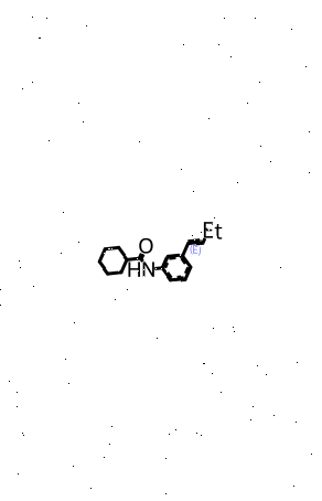 CC/C=C/c1cccc(NC(=O)C2CCCCC2)c1